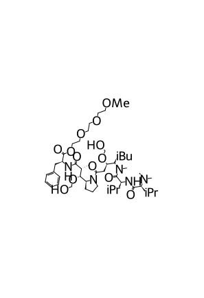 CC[C@H](C)[C@@H]([C@@H](CC(=O)N1CCC[C@H]1[C@H](OCO)[C@@H](C)C(=O)N[C@@H](Cc1ccccc1)C(=O)OCCOCCOCCOC)OCO)N(C)C(=O)[C@@H](NC(=O)[C@H](C(C)C)N(C)C)C(C)C